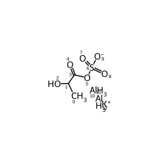 CC(O)C(=O)OS(=O)(=O)[O-].[AlH3].[AlH3].[K+]